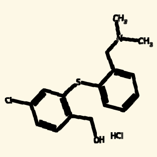 CN(C)Cc1ccccc1Sc1cc(Cl)ccc1CO.Cl